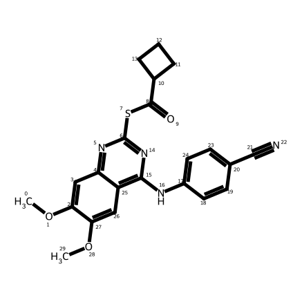 COc1cc2nc(SC(=O)C3CCC3)nc(Nc3ccc(C#N)cc3)c2cc1OC